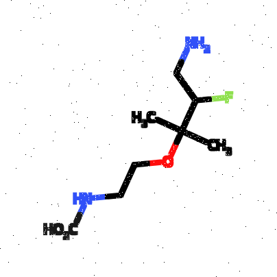 CC(C)(OCCNC(=O)O)C(F)CN